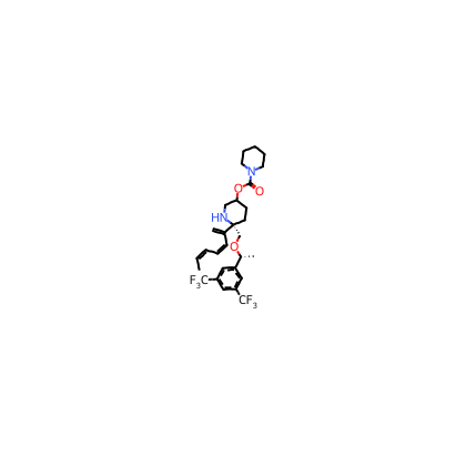 C=C(/C=C\C=C/C)[C@]1(CO[C@H](C)c2cc(C(F)(F)F)cc(C(F)(F)F)c2)CCC(OC(=O)N2CCCCC2)CN1